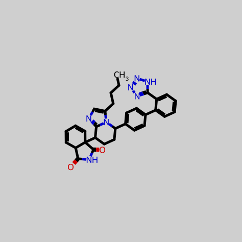 CCCCc1cnc2n1C(c1ccc(-c3ccccc3-c3nnn[nH]3)cc1)CCC2C12C=CC=CC1C(=O)NC2=O